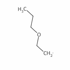 [CH2]COCCC